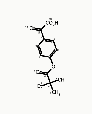 CCC(C)(C)C(=O)Oc1ccc(C(=O)C(=O)O)cc1